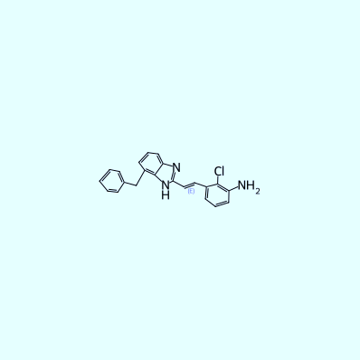 Nc1cccc(/C=C/c2nc3cccc(Cc4ccccc4)c3[nH]2)c1Cl